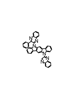 c1ccc(-c2nc3ccccc3nc2-n2c3ccccc3c3cc4c(cc32)c2ccccc2n4-c2cnc3ccccc3n2)cc1